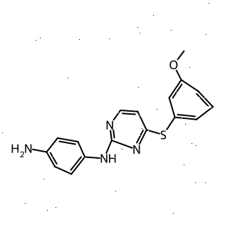 COc1cccc(Sc2ccnc(Nc3ccc(N)cc3)n2)c1